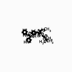 COCc1sc(-c2cccc(NC(C(=O)NC3CCCCC3)C3CCNCC3)c2)c(Br)c1OCC(=O)OC(C)(C)C